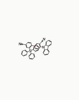 N#Cc1ccc(-c2ccc(-n3c4ccccc4c4ccccc43)c(C#N)c2)c([Si](c2ccccc2)(c2ccccc2)c2ccccc2)c1